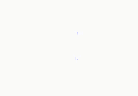 Cc1cccc(C)c1NC1CCN(Cc2ccccc2)CC1